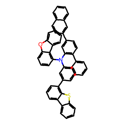 c1ccc(-c2ccc(-c3ccc4ccccc4c3)cc2N(c2cccc(-c3cccc4c3sc3ccccc34)c2)c2cccc3oc4ccccc4c23)cc1